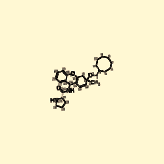 CC1(OCC2CCCCCCC2)C=CC2=C(C1)Oc1ccccc1C2NC(=O)[C@@H]1CCCN1